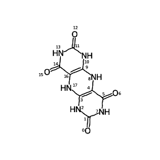 O=c1[nH]c2c(c(=O)[nH]1)Nc1[nH]c(=O)[nH]c(=O)c1N2